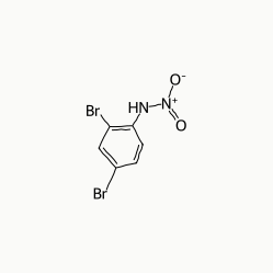 O=[N+]([O-])Nc1ccc(Br)cc1Br